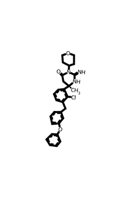 C[C@@]1(c2cccc(Cc3cccc(Oc4ccccc4)c3)c2Cl)CC(=O)N(C2CCOCC2)C(=N)N1